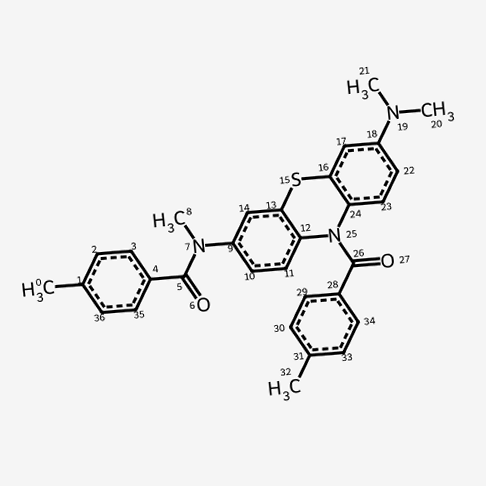 Cc1ccc(C(=O)N(C)c2ccc3c(c2)Sc2cc(N(C)C)ccc2N3C(=O)c2ccc(C)cc2)cc1